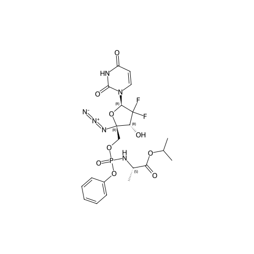 CC(C)OC(=O)[C@H](C)NP(=O)(OC[C@@]1(N=[N+]=[N-])O[C@@H](n2ccc(=O)[nH]c2=O)C(F)(F)[C@@H]1O)Oc1ccccc1